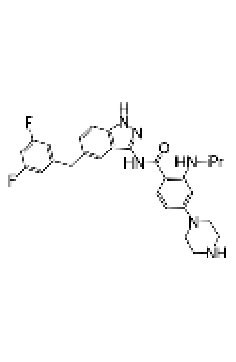 CC(C)Nc1cc(N2CCNCC2)ccc1C(=O)Nc1n[nH]c2ccc(Cc3cc(F)cc(F)c3)cc12